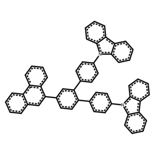 c1ccc2c(c1)cc(-c1ccc(-c3ccc(-n4c5ccccc5c5ccccc54)cc3)c(-c3ccc(-n4c5ccccc5c5ccccc54)cc3)c1)c1ccccc12